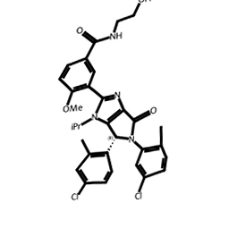 COc1ccc(C(=O)NCCO)cc1-c1nc2c(n1C(C)C)[C@@H](c1ccc(Cl)cc1C)N(c1cc(Cl)ccc1C)C2=O